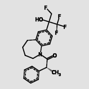 C[C@@H](C(=O)N1CCCCc2cc(C(O)(CF)C(F)(F)F)ccc21)c1ccccc1